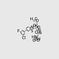 COCCS(=O)(=O)C(c1nnc(CN[SH](=O)=O)o1)c1nc2ccc(-c3cc(F)cc(Cl)c3)cc2s1